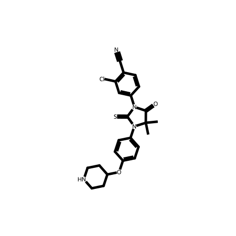 CC1(C)C(=O)N(c2ccc(C#N)c(Cl)c2)C(=S)N1c1ccc(OC2CCNCC2)cc1